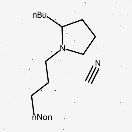 C#N.CCCCCCCCCCCCN1CCCC1CCCC